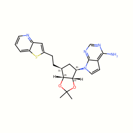 CC1(C)O[C@@H]2[C@@H](CCc3cc4ncccc4s3)C[C@@H](n3ccc4c(N)ncnc43)[C@@H]2O1